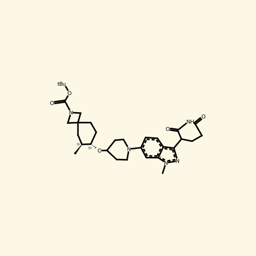 C[C@H]1CC2(CC[C@@H]1OC1CCN(c3ccc4c(C5CCC(=O)NC5=O)nn(C)c4c3)CC1)CN(C(=O)OC(C)(C)C)C2